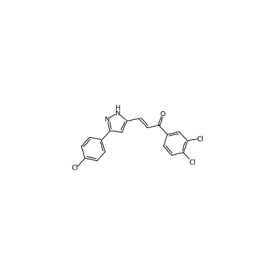 O=C(C=Cc1cc(-c2ccc(Cl)cc2)n[nH]1)c1ccc(Cl)c(Cl)c1